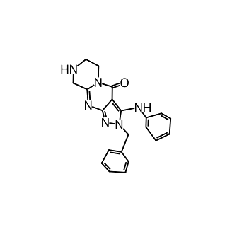 O=c1c2c(Nc3ccccc3)n(Cc3ccccc3)nc2nc2n1CCNC2